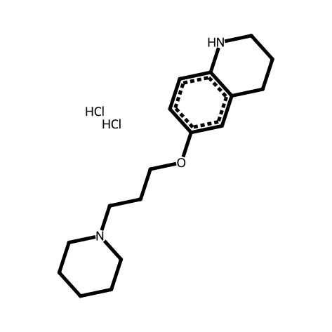 Cl.Cl.c1cc2c(cc1OCCCN1CCCCC1)CCCN2